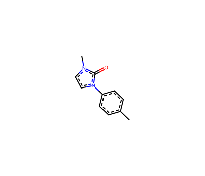 Cc1ccc(-n2ccn(C)c2=O)cc1